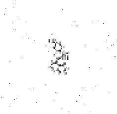 C[C@H](N[C@H](C)c1ccc(Cl)cc1)c1cccc2ccccc12